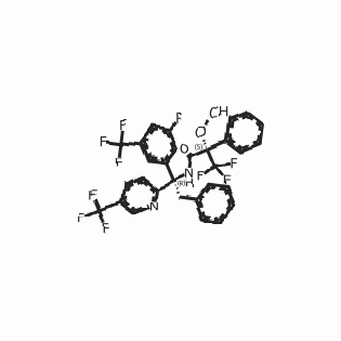 CO[C@](C(=O)N[C@](Cc1ccccc1)(c1cc(F)cc(C(F)(F)F)c1)c1ccc(C(F)(F)F)cn1)(c1ccccc1)C(F)(F)F